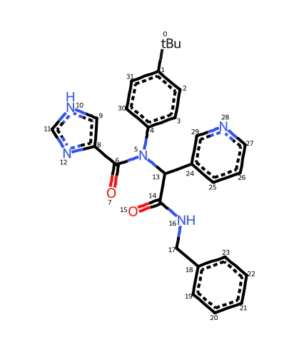 CC(C)(C)c1ccc(N(C(=O)c2c[nH]cn2)C(C(=O)NCc2ccccc2)c2cccnc2)cc1